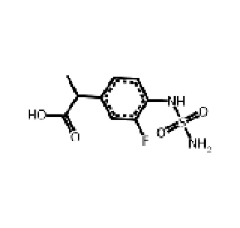 CC(C(=O)O)c1ccc(NS(N)(=O)=O)c(F)c1